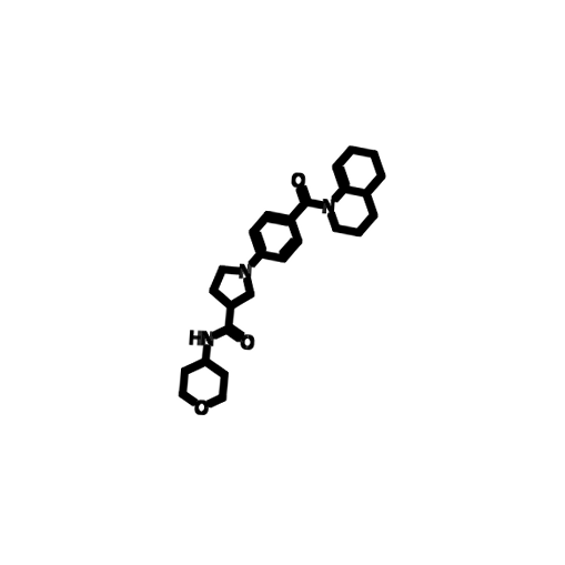 O=C(NC1CCOCC1)C1CCN(c2ccc(C(=O)N3CCCC4CCCC=C43)cc2)C1